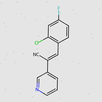 N#CC(=Cc1ccc(F)cc1Cl)c1cccnc1